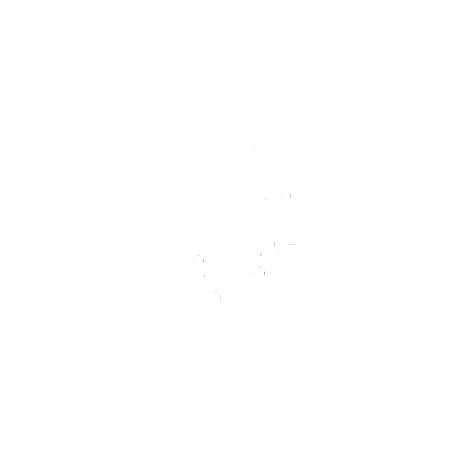 O=C(O)C(CCS(=O)(=O)c1ccccc1)CCS(=O)(=O)c1ccccc1